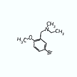 CCN(C)Cc1cc(Br)ccc1OC